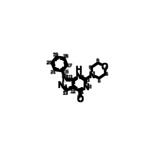 O=c1nc(N2CCOCC2)[nH]c2c1cnn2-c1ccccc1